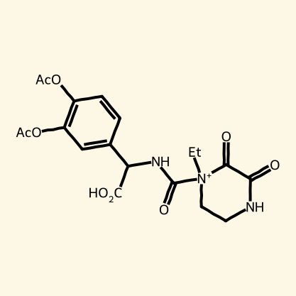 CC[N+]1(C(=O)NC(C(=O)O)c2ccc(OC(C)=O)c(OC(C)=O)c2)CCNC(=O)C1=O